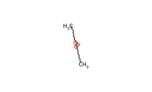 CCCCCCCCCC[O][Zr][O]CCCCCCCCCC